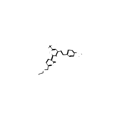 CC(C)(C)C1=CC(C=Cc2ccc(NS(C)(=O)=O)cc2)=C(O)C(=C2C=CC(COCCO)=NC2=O)N1